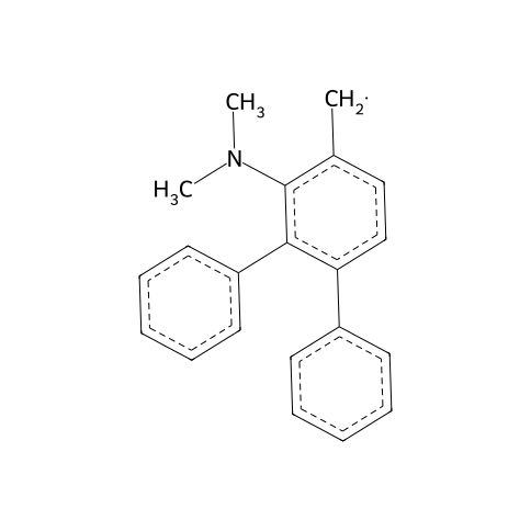 [CH2]c1ccc(-c2ccccc2)c(-c2ccccc2)c1N(C)C